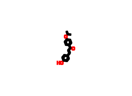 CC(C)Oc1ccc(C(=O)/C=C/c2ccc(O)cc2)cc1